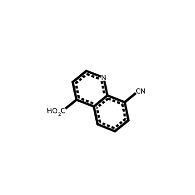 N#Cc1cccc2c(C(=O)O)ccnc12